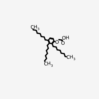 CCCCCCCCc1ccc(OCC(=O)O)c(CCCCCCCC)c1CCCCCCCC